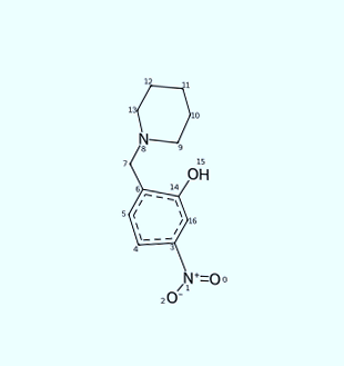 O=[N+]([O-])c1ccc(CN2CCCCC2)c(O)c1